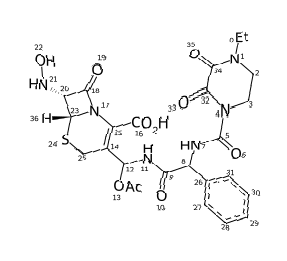 CCN1CCN(C(=O)NC(C(=O)NC(OC(C)=O)C2=C(C(=O)O)N3C(=O)[C@@H](NO)[C@H]3SC2)c2ccccc2)C(=O)C1=O